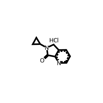 Cl.O=C1c2ncccc2CN1C1CC1